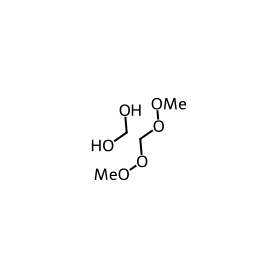 COOCOOC.OCO